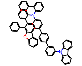 c1ccc(-c2ccccc2N(c2ccc(-c3ccc(-c4cccc(-n5c6ccccc6c6ccccc65)c4)cc3)cc2)c2ccccc2-c2ccc3c(oc4ccccc43)c2-c2ccccc2)cc1